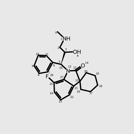 CNCC(O)[C@H](c1ccccc1)N1C(=O)C2(CCCCC2)c2cccc(F)c21